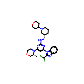 C[C@H]1COCCN1c1cc(-n2c(C(F)F)nc3ccccc32)nc(NC[C@H]2CCCN(C3CCOCC3)C2)n1